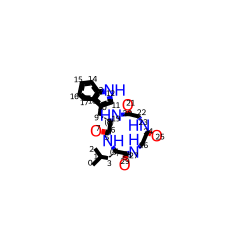 CC(C)C[C@@H]1NC(=O)[C@H](Cc2c[nH]c3ccccc23)NC(=O)CNC(=O)CNC1=O